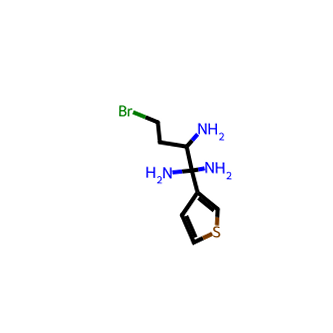 NC(CCBr)C(N)(N)c1ccsc1